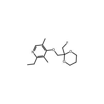 CCc1ncc(C)c(OCC2(CF)OCCCO2)c1C